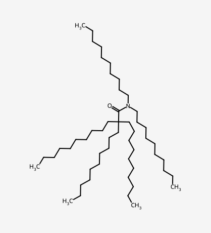 CCCCCCCCCCN(CCCCCCCCCC)C(=O)C(CCCCCCCCCC)(CCCCCCCCCC)CCCCCCCCCC